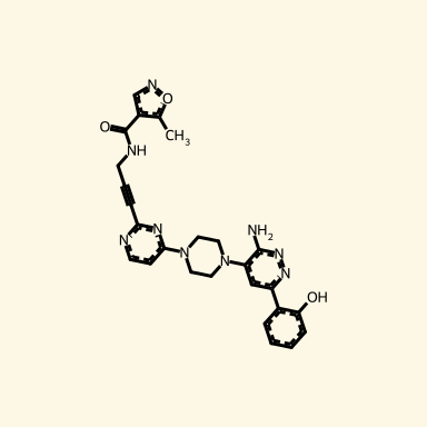 Cc1oncc1C(=O)NCC#Cc1nccc(N2CCN(c3cc(-c4ccccc4O)nnc3N)CC2)n1